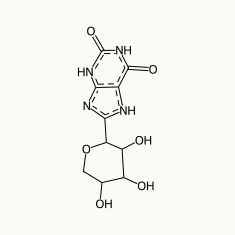 O=c1[nH]c(=O)c2[nH]c(C3OCC(O)C(O)C3O)nc2[nH]1